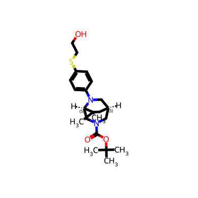 CC(C)(C)OC(=O)N1C[C@@H]2CN(c3ccc(SCCO)cc3)[C@H](C1)C(C)(C)C2